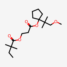 CCC(C)(C)C(=O)OCCC(=O)OC1(C(C)(C)COC)CCCC1